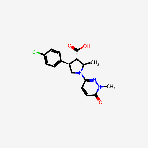 CC1[C@@H](C(=O)O)[C@H](c2ccc(Cl)cc2)CN1c1ccc(=O)n(C)n1